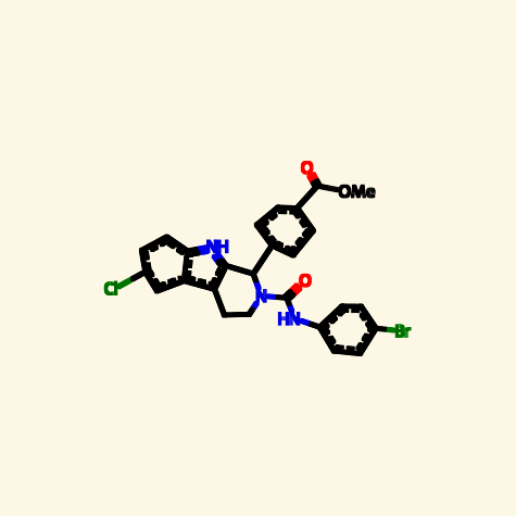 COC(=O)c1ccc(C2c3[nH]c4ccc(Cl)cc4c3CCN2C(=O)Nc2ccc(Br)cc2)cc1